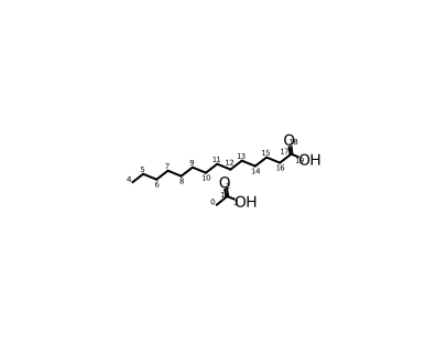 CC(=O)O.CCCCCCCCCCCCCC(=O)O